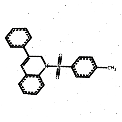 Cc1ccc(S(=O)(=O)N2CC(c3ccccc3)=Cc3ccccc32)cc1